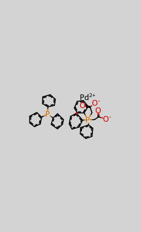 O=C([O-])CP(CC(=O)[O-])(c1ccccc1)(c1ccccc1)c1ccccc1.[Pd+2].c1ccc(P(c2ccccc2)c2ccccc2)cc1